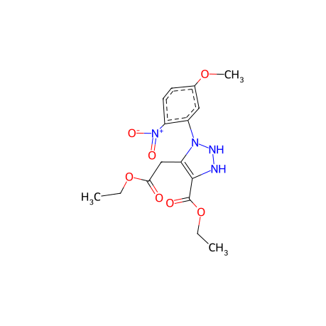 CCOC(=O)CC1=C(C(=O)OCC)NNN1c1cc(OC)ccc1[N+](=O)[O-]